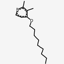 CCCCCCCCCOc1ccnc(C)c1C